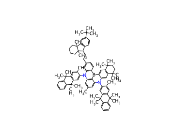 Cc1cc2c3c(c1)N(c1cc4c(cc1C)C(C)(C)c1ccccc1C4(C)C)c1cc4c(cc1B3c1ccc(CCC3c5ccc(C(C)(C)C)cc5C5(C)CCCCC35C)cc1N2c1cc2c(cc1C)C(C)(C)c1ccccc1C2(C)C)C(C)(C)CCC4(C)C